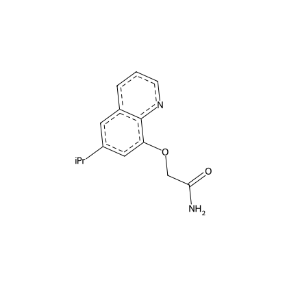 CC(C)c1cc(OCC(N)=O)c2ncccc2c1